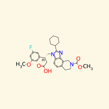 COC(=O)N1CCc2ccc3c(nc(C4CCCCC4)n3C[C@H](CC(=O)O)c3cc(F)cc(OC)c3)c2C1